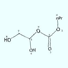 CCCOC(=O)OC(O)CO